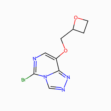 Brc1ncc(OCC2CCO2)c2nncn12